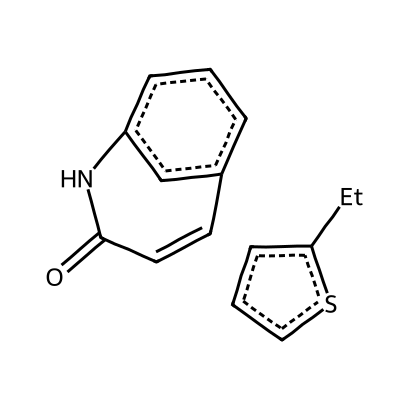 CCc1cccs1.O=C1C=Cc2cccc(c2)N1